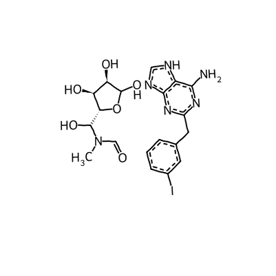 CN(C=O)C(O)[C@H]1OC(O)[C@H](O)[C@@H]1O.Nc1nc(Cc2cccc(I)c2)nc2nc[nH]c12